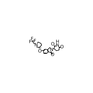 O=C1CCC(N2Cc3cc(O[C@H]4CCCN(CC(F)(F)F)C4)ccc3C2=O)C(=O)N1